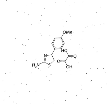 COc1ccc(C2CSC(N)=N2)cc1.O=C(O)C(=O)O